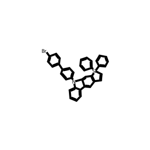 Brc1ccc(-c2ccc(-n3c4ccccc4c4cc5c(cc43)[Si](c3ccccc3)(c3ccccc3)C=C5)cc2)cc1